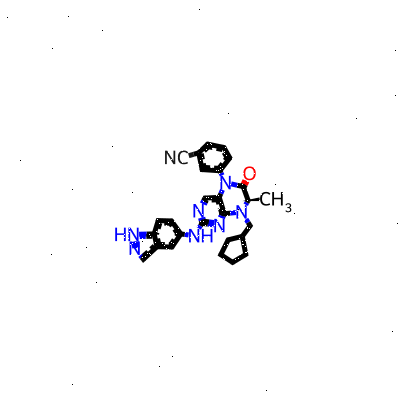 C[C@@H]1C(=O)N(c2cccc(C#N)c2)c2cnc(Nc3ccc4[nH]ncc4c3)nc2N1CC1CCCC1